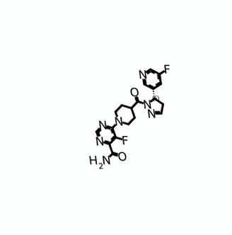 NC(=O)c1ncnc(N2CCC(C(=O)N3N=CC[C@H]3c3cncc(F)c3)CC2)c1F